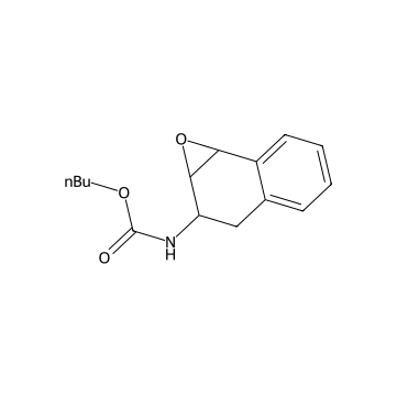 CCCCOC(=O)NC1Cc2ccccc2C2OC12